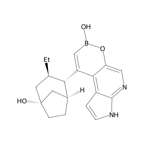 CC[C@@H]1C[C@]2(O)CC[C@@H](C2)[C@H]1C1=CB(O)Oc2cnc3[nH]ccc3c21